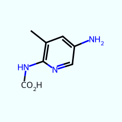 Cc1cc(N)cnc1NC(=O)O